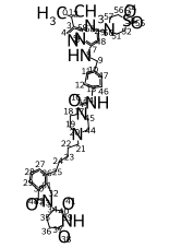 CC(C)c1cnn2c(NCc3ccc(NC(=O)N4CCN(CCCCCc5cccc6c5CN(C5CCC(=O)NC5=O)C6=O)CC4)cc3)cc(N3CCS(=O)(=O)CC3)nc12